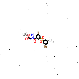 CC(C)(C)OC(=O)CNC(=O)c1cc(Br)cc(S(=O)(=O)c2cc(Br)cc(C(F)(F)F)c2)c1